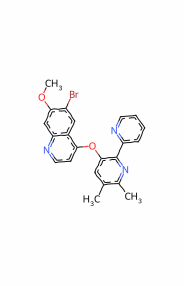 COc1cc2nccc(Oc3cc(C)c(C)nc3-c3ccccn3)c2cc1Br